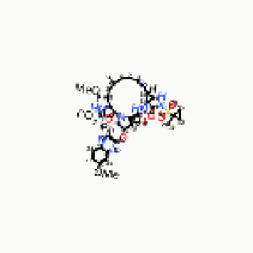 COC[C@@H]1C[C@@H](C)CC/C=C\[C@@H]2C[C@@]2(C(=O)NS(=O)(=O)C2(CF)CC2)NC(=O)[C@@H]2C[C@@H](Oc3nc4cc(OC)ccc4nc3C(C)C)CN2C(=O)[C@H]1NC(=O)O